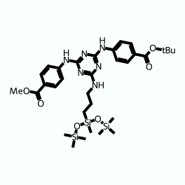 COC(=O)c1ccc(Nc2nc(NCCC[Si](C)(O[Si](C)(C)C)O[Si](C)(C)C)nc(Nc3ccc(C(=O)OC(C)(C)C)cc3)n2)cc1